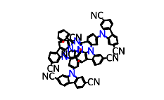 N#Cc1ccc2c3ccc(C#N)cc3n(-c3ccc(-c4nc(-c5ccccc5)nc(-c5ccc(-n6c7cc(C#N)ccc7c7ccc(C#N)cc76)cc5-n5c6cc(C#N)ccc6c6ccc(C#N)cc65)n4)c(-n4c5cc(C#N)ccc5c5ccc(C#N)cc54)c3)c2c1